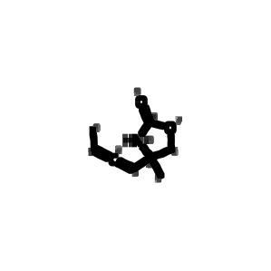 CC=C=CC1(C)COC(=O)N1